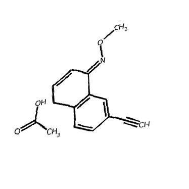 C#Cc1ccc2c(c1)C(=NOC)C=CC2.CC(=O)O